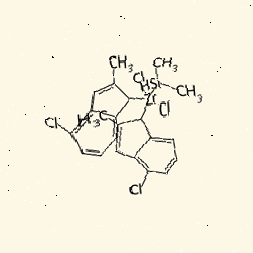 CC1=Cc2c(Cl)cccc2[CH]1[Zr]([Cl])([Cl])([CH]1C(C)=Cc2c(Cl)cccc21)[SiH](C)C